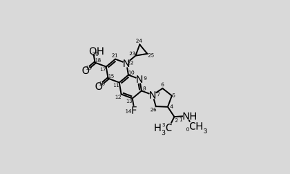 CNC(C)C1CCN(c2nc3c(cc2F)c(=O)c(C(=O)O)cn3C2CC2)C1